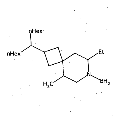 BN1CC(C)C2(CC(C(CCCCCC)CCCCCC)C2)CC1CC